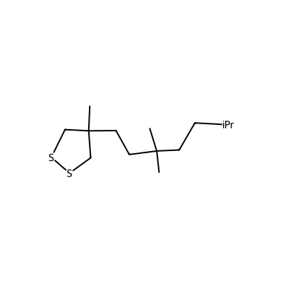 CC(C)CCC(C)(C)CCC1(C)CSSC1